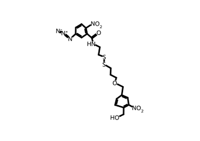 [N-]=[N+]=Nc1ccc([N+](=O)[O-])c(C(=O)NCCSSCCCOCc2ccc(CO)c([N+](=O)[O-])c2)c1